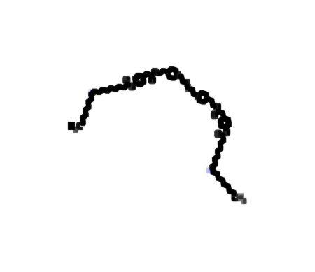 CCCCCCCC/C=C\CCCCCCCC(=O)Oc1ccc(CC(=O)OCCC2CCN(CCSSCCN3CCC(CCOC(=O)Cc4ccc(OC(=O)CCCCCCC/C=C\CCCCCCCC)cc4)CC3)CC2)cc1